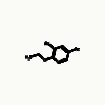 CC(=O)c1ccc(O[CH]N)c(C(C)=O)c1